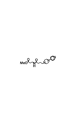 COC(=O)CCNC(=O)CCCN1CCN(c2ccncc2)CC1